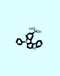 OB(O)c1ccc2c(c1)c1c3c(ccc1n2-c1ccccc1)oc1ccccc13